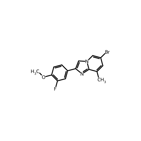 COc1ccc(-c2cn3cc(Br)cc(C)c3n2)cc1F